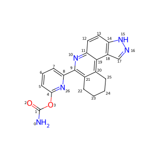 NC(=O)Oc1cccc(-c2nc3ccc4[nH]ncc4c3c3c2CCCC3)n1